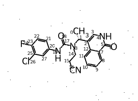 C[C@H](c1c[nH]c(=O)c2ccccc12)N(CCC#N)C(=O)Nc1ccc(F)c(Cl)c1